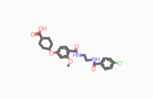 COc1cc(OC2CCC(C(=O)O)CC2)ccc1C(=O)NCCNC(=O)c1ccc(Cl)cc1